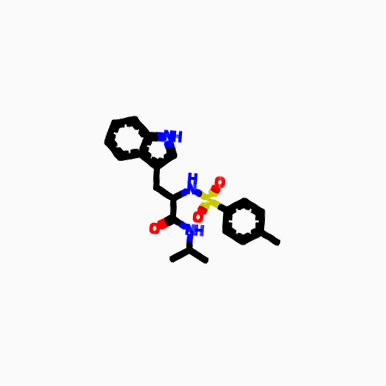 Cc1ccc(S(=O)(=O)NC(Cc2c[nH]c3ccccc23)C(=O)NC(C)C)cc1